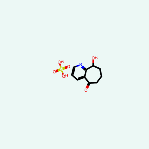 O=C1CCCC(O)c2ncccc21.O=S(=O)(O)O